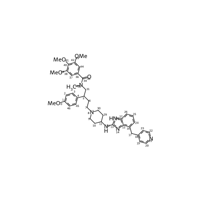 COc1ccc(C(CCN2CCC(Nc3nc4c(Cc5ccncc5)cccc4[nH]3)CC2)CN(C)C(=O)c2cc(OC)c(OC)c(OC)c2)cc1